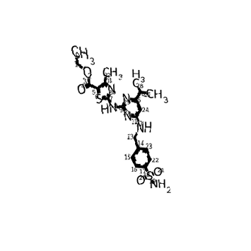 CCOC(=O)c1sc(Nc2nc(NCc3ccc(S(N)(=O)=O)cc3)cc(C(C)C)n2)nc1C